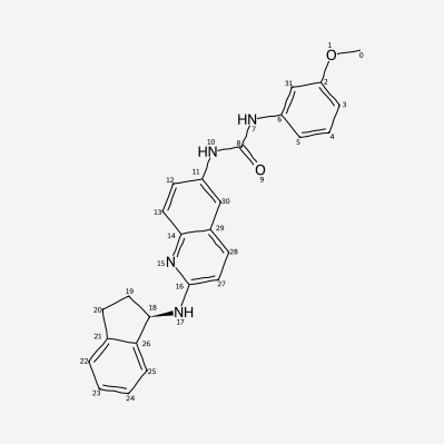 COc1cccc(NC(=O)Nc2ccc3nc(N[C@@H]4CCc5ccccc54)ccc3c2)c1